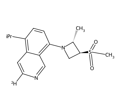 [2H]c1cc2c(C(C)C)ccc(N3C[C@H](S(C)(=O)=O)[C@H]3C)c2cn1